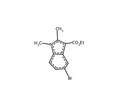 CCOC(=O)c1c(C)n(C)c2ccc(Br)cc12